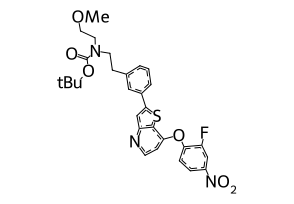 COCCN(CCc1cccc(-c2cc3nccc(Oc4ccc([N+](=O)[O-])cc4F)c3s2)c1)C(=O)OC(C)(C)C